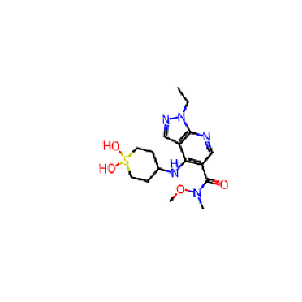 CCn1ncc2c(NC3CCS(O)(O)CC3)c(C(=O)N(C)OC)cnc21